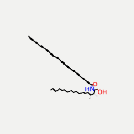 CC#CC#CC#CC#CC#CC#CC#CC#CC#CC#CC#CC#CC(=O)N[C@@H](CO)[C@H](C)[C@H](C)CC=CCCCCCCCCCCC